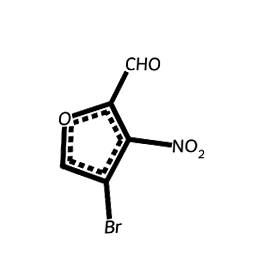 O=Cc1occ(Br)c1[N+](=O)[O-]